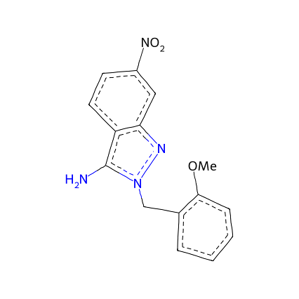 COc1ccccc1Cn1nc2cc([N+](=O)[O-])ccc2c1N